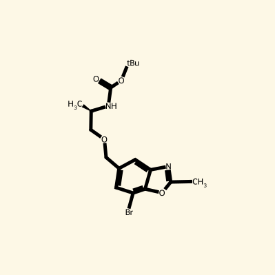 Cc1nc2cc(COC[C@@H](C)NC(=O)OC(C)(C)C)cc(Br)c2o1